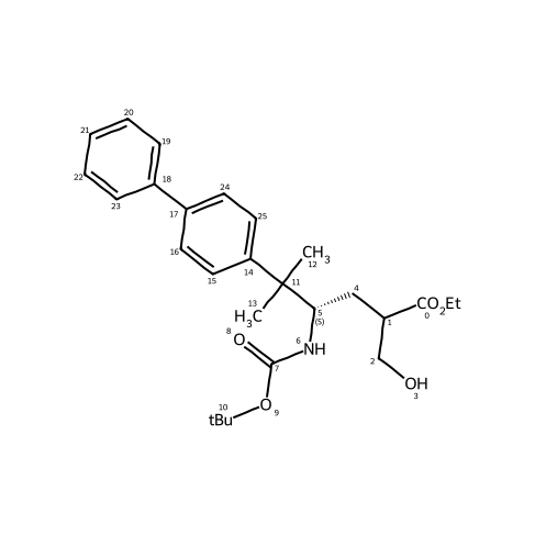 CCOC(=O)C(CO)C[C@H](NC(=O)OC(C)(C)C)C(C)(C)c1ccc(-c2ccccc2)cc1